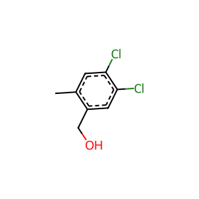 Cc1cc(Cl)c(Cl)cc1CO